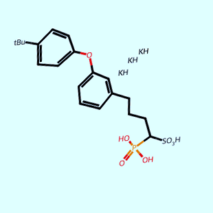 CC(C)(C)c1ccc(Oc2cccc(CCCC(P(=O)(O)O)S(=O)(=O)O)c2)cc1.[KH].[KH].[KH]